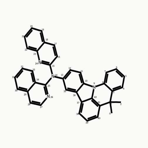 CC1(C)c2ccccc2-n2c3ccc(N(c4ccc5ccccc5n4)c4nccc5ccccc45)cc3c3cccc1c32